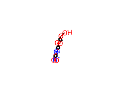 O=C(Oc1ccc(OCCO)cc1)c1ccc(N=Nc2ccc([N+](=O)[O-])cc2)cc1